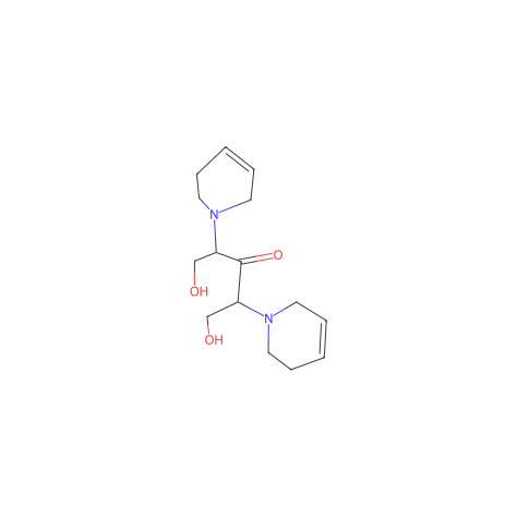 O=C(C(CO)N1CC=CCC1)C(CO)N1CC=CCC1